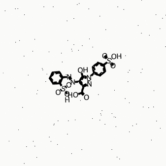 O=C(O)c1nn(-c2ccc(S(=O)(=O)O)cc2)c(O)c1N=Nc1ccccc1S(=O)(=O)O